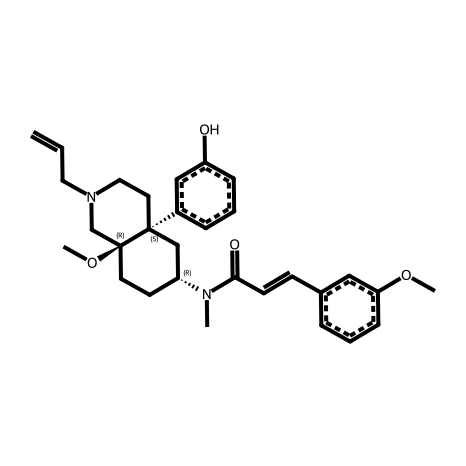 C=CCN1CC[C@@]2(c3cccc(O)c3)C[C@H](N(C)C(=O)C=Cc3cccc(OC)c3)CC[C@]2(OC)C1